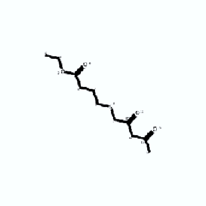 CCOC(=O)CCCSCC(=O)CC(C)=O